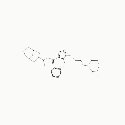 CC(NC(=O)c1onc(OCCCN2C[C@@H](C)O[C@@H](C)C2)c1Sc1ccccc1)C1CC2CCCC(C2)C1